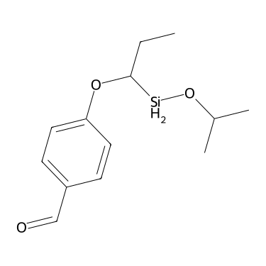 CCC(Oc1ccc(C=O)cc1)[SiH2]OC(C)C